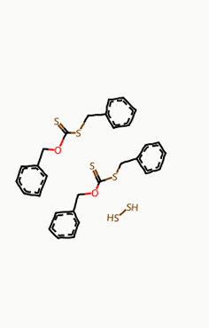 S=C(OCc1ccccc1)SCc1ccccc1.S=C(OCc1ccccc1)SCc1ccccc1.SS